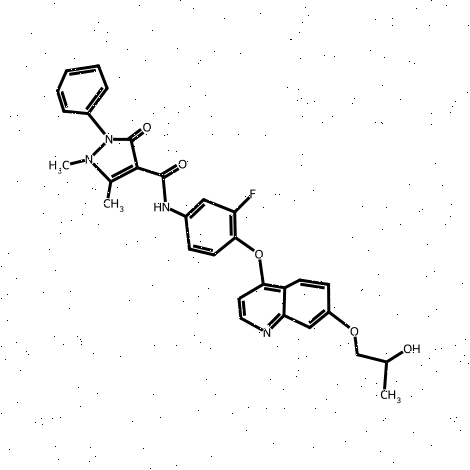 Cc1c(C(=O)Nc2ccc(Oc3ccnc4cc(OCC(C)O)ccc34)c(F)c2)c(=O)n(-c2ccccc2)n1C